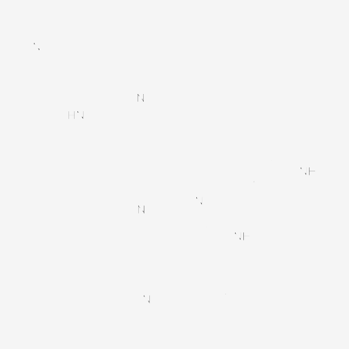 CC1(C)CNCC[C@@H]1Nc1nc(-c2ccnc(Nc3cccnc3)c2)nc2cncc(C3CCC3)c12